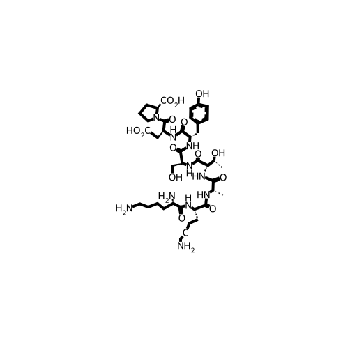 C[C@H](NC(=O)[C@H](CCCCN)NC(=O)[C@@H](N)CCCCN)C(=O)N[C@H](C(=O)N[C@@H](CO)C(=O)N[C@@H](Cc1ccc(O)cc1)C(=O)N[C@@H](CC(=O)O)C(=O)N1CCC[C@H]1C(=O)O)[C@@H](C)O